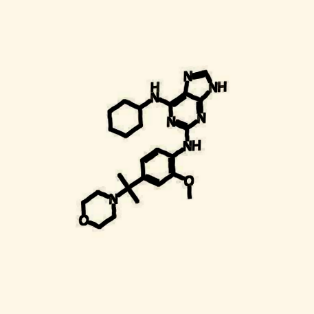 COc1cc(C(C)(C)N2CCOCC2)ccc1Nc1nc(NC2CCCCC2)c2nc[nH]c2n1